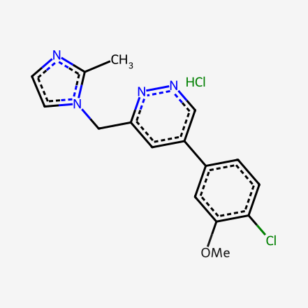 COc1cc(-c2cnnc(Cn3ccnc3C)c2)ccc1Cl.Cl